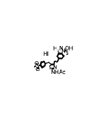 CC(=O)Nc1nc(CCc2ccc(N(N)C(O)=S)cc2)c(Cc2ccc(S(C)(=O)=O)cc2)s1.I